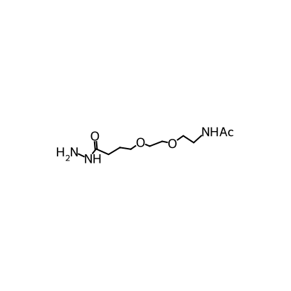 CC(=O)NCCOCCOCCCC(=O)NN